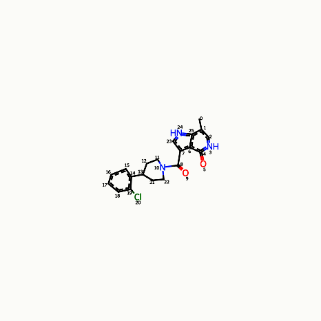 Cc1c[nH]c(=O)c2c(C(=O)N3CCC(c4ccccc4Cl)CC3)c[nH]c12